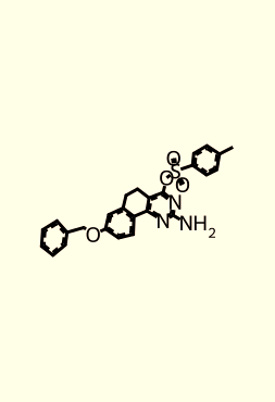 Cc1ccc(S(=O)(=O)Oc2nc(N)nc3c2CCc2cc(OCc4ccccc4)ccc2-3)cc1